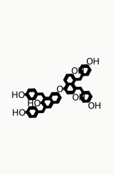 Oc1ccc(Cc2cc3ccc(Oc4cc(O)c(Cc5ccc(O)cc5)c5c(Cc6ccc(O)cc6)c(O)ccc45)cc3c(Cc3ccc(O)cc3)c2O)cc1